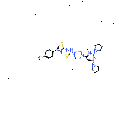 S=C(Nc1nc(-c2ccc(Br)cc2)cs1)N1CCN(c2cc(N3CCCC3)nc(N3CCCC3)n2)CC1